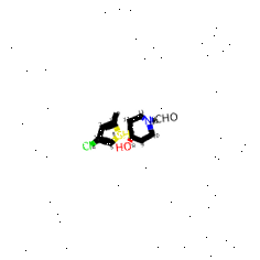 CC1=CC(Cl)=C[SH]1C1(O)CCN(C=O)CC1